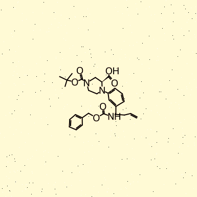 C=CCC(NC(=O)OCc1ccccc1)c1cccc(N2CCN(C(=O)OC(C)(C)C)C[C@H]2C(=O)O)c1